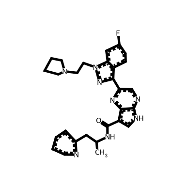 CC(Cc1ccccn1)NC(=O)c1c[nH]c2ncc(-c3nn(CCN4CCCC4)c4cc(F)ccc34)nc12